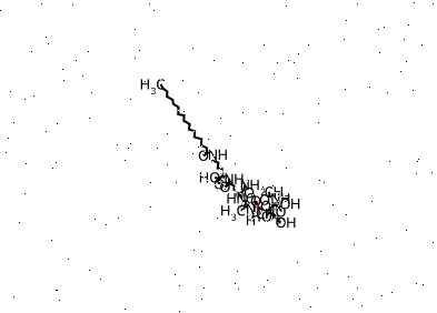 CCCCCCCCCCCCCCCCCC(=O)NCCCC[C@H](NC(=O)CC[C@@H](NC(=O)[C@H](C)NC(=O)[C@@H](C)O[C@H]1[C@H](O)[C@@H](CO)OC(O)[C@@H]1NC(C)=O)C(N)=O)C(=O)O